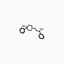 N#CC1(c2ccccc2)CCN(CCC(O)c2ccccc2)CC1